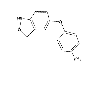 Nc1ccc(Oc2ccc3c(c2)COB3)cc1